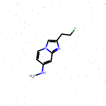 CNc1ccn2cc(CCF)nc2c1